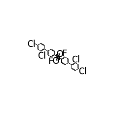 O=S(=O)(c1ccc(-c2ccc(Cl)cc2Cl)cc1F)c1ccc(-c2ccc(Cl)cc2Cl)cc1F